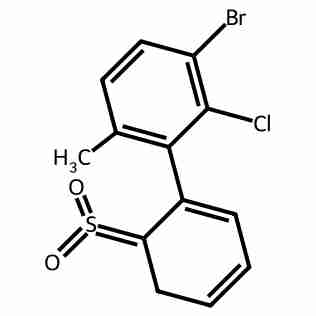 Cc1ccc(Br)c(Cl)c1C1=CC=CCC1=S(=O)=O